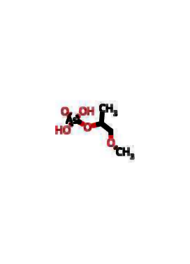 COCC(C)O[As](=O)(O)O